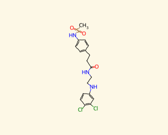 CS(=O)(=O)Nc1ccc(CCC(=O)NCCNc2ccc(Cl)c(Cl)c2)cc1